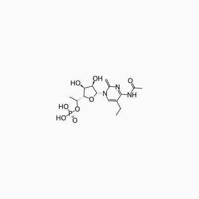 C=C1N=C(NC(C)=O)C(CC)=CN1[C@@H]1O[C@H](C(C)OP(=O)(O)O)[C@@H](O)[C@H]1O